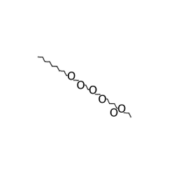 CCCCCCCCCOCCOCCOCCOCCCC(=O)OCCC